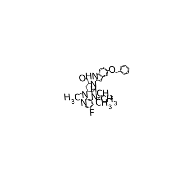 CCN(c1ncc(F)cc1NC(C)(C)C)C1CCN(c2cc3cc(OCc4ccccc4)ccc3[nH]2)C(C=O)C1